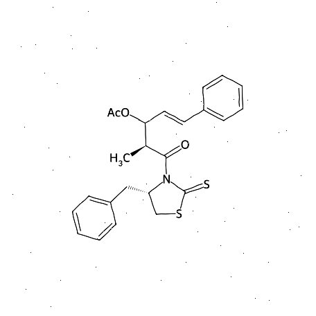 CC(=O)OC(/C=C/c1ccccc1)[C@H](C)C(=O)N1C(=S)SC[C@@H]1Cc1ccccc1